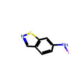 INc1ccc2cnsc2c1